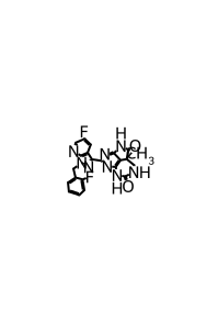 C[C@@]12CNC(=O)Nc3nc(-c4nn(Cc5ccccc5F)c5ncc(F)cc45)nc(c31)NC2=O